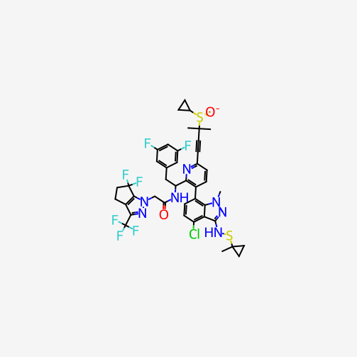 Cn1nc(NSC2(C)CC2)c2c(Cl)ccc(-c3ccc(C#CC(C)(C)[S+]([O-])C4CC4)nc3C(Cc3cc(F)cc(F)c3)NC(=O)Cn3nc(C(F)(F)F)c4c3C(F)(F)CC4)c21